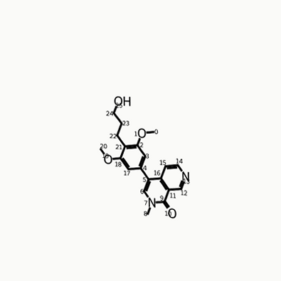 COc1cc(-c2cn(C)c(=O)c3cnccc23)cc(OC)c1CCCO